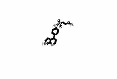 CCOCCS(=O)(=O)Nc1ccc(-c2ccnc3[nH]ccc23)cc1